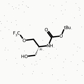 CC(C)(C)OC(=O)N[C@H](CO)COC(F)(F)F